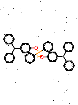 c1ccc(C(c2ccccc2)c2ccc(O[PH](Oc3ccc(C(c4ccccc4)c4ccccc4)cc3)(c3ccccc3)c3ccccc3)cc2)cc1